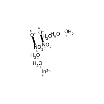 O.O.O.O.O.O=[N+]([O-])[O-].O=[N+]([O-])[O-].[In+2]